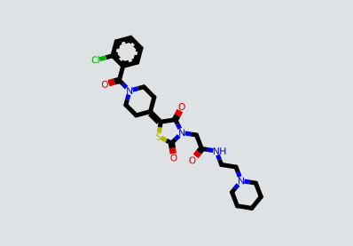 O=C(CN1C(=O)SC(=C2CCN(C(=O)c3ccccc3Cl)CC2)C1=O)NCCN1CCCCC1